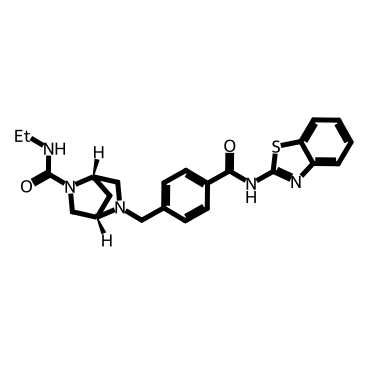 CCNC(=O)N1C[C@@H]2C[C@H]1CN2Cc1ccc(C(=O)Nc2nc3ccccc3s2)cc1